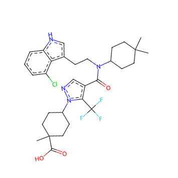 CC1(C)CCC(N(CCc2c[nH]c3cccc(Cl)c23)C(=O)c2cnn(C3CCC(C)(C(=O)O)CC3)c2C(F)(F)F)CC1